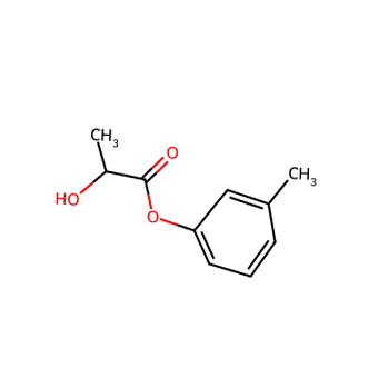 Cc1cccc(OC(=O)C(C)O)c1